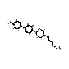 CCC/C=C/[C@H]1CO[C@H](c2ccc(-c3ccc(Cl)cc3)nc2)OC1